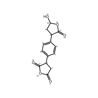 O=C1CC(c2ccc(C3CC(O)OC3=O)cc2)C(=O)O1